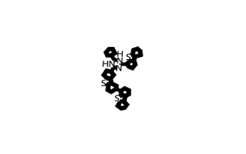 c1ccc(C2NC(c3ccc4sc5ccc(-c6cccc7c6sc6ccccc67)cc5c4c3)=NC(c3cccc4c3sc3ccccc34)N2)cc1